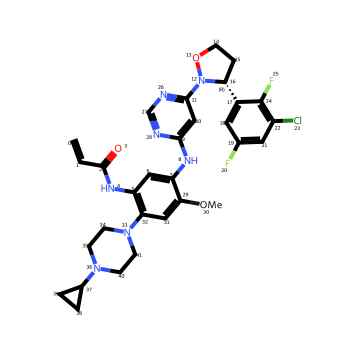 C=CC(=O)Nc1cc(Nc2cc(N3OCC[C@@H]3c3cc(F)cc(Cl)c3F)ncn2)c(OC)cc1N1CCN(C2CC2)CC1